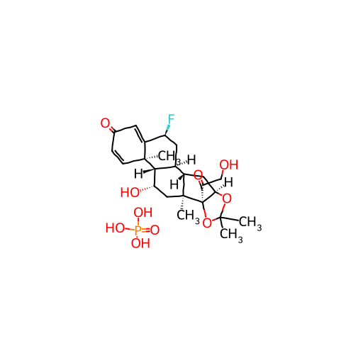 CC1(C)O[C@@H]2C[C@H]3[C@@H]4C[C@H](F)C5=CC(=O)C=C[C@]5(C)[C@H]4[C@@H](O)C[C@]3(C)[C@]2(C(=O)CO)O1.O=P(O)(O)O